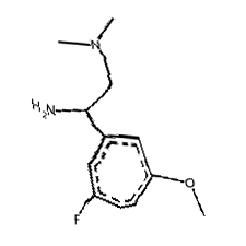 COc1cc(F)cc(C(N)CN(C)C)c1